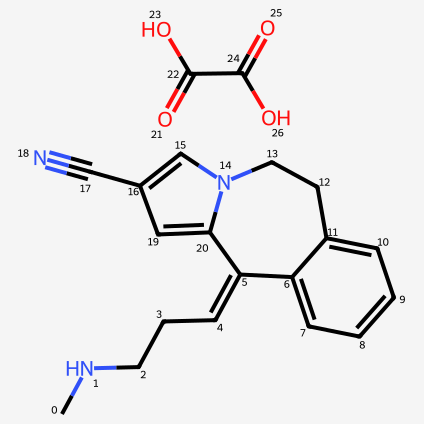 CNCCC=C1c2ccccc2CCn2cc(C#N)cc21.O=C(O)C(=O)O